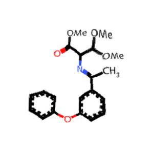 COC(=O)C(N=C(C)c1cccc(Oc2ccccc2)c1)C(OC)OC